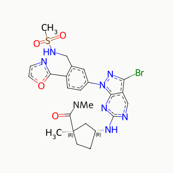 CNC(=O)[C@]1(C)CC[C@@H](Nc2ncc3c(Br)nn(-c4ccc(-c5ncco5)c(CNS(C)(=O)=O)c4)c3n2)C1